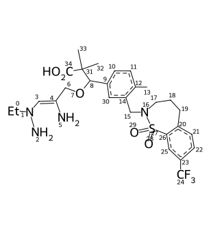 CCN(N)/C=C(\N)COC(c1ccc(C)c(CN2CCCc3ccc(C(F)(F)F)cc3S2(=O)=O)c1)C(C)(C)C(=O)O